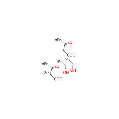 CC(C)CO.CC(C)CO.CCCC(=O)CC(=O)[O-].CCCC(=O)CC(=O)[O-].[Zr+2]